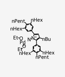 CCCCCCc1cc(C2=CC(CCCC)=C(c3cc(CCCCCC)c(CCCCC)c(CCCCCC)c3)[N+]2=[N-])cc(CCCCCC)c1CCCCC.CC[O][Pd][O]CC